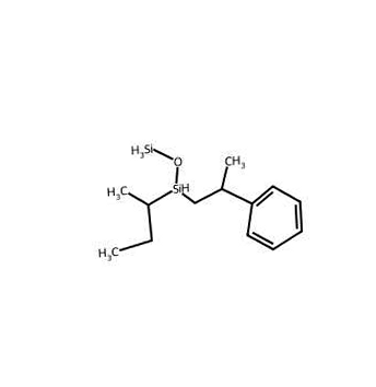 CCC(C)[SiH](CC(C)c1ccccc1)O[SiH3]